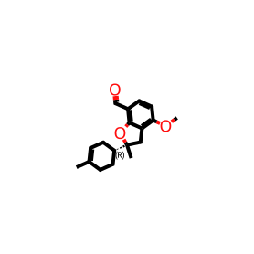 COc1ccc(C=O)c2c1CC(C)([C@H]1CC=C(C)CC1)O2